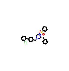 O=S(=O)(c1ccccc1)N1CCN(Cc2ccc(-c3ccccc3Cl)cc2)C[C@@H]1Cc1ccccc1